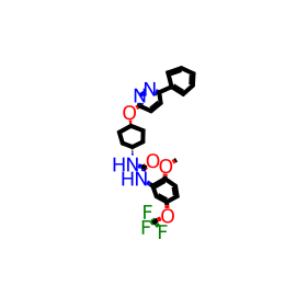 COc1ccc(OC(F)(F)F)cc1NC(=O)N[C@H]1CC[C@H](Oc2ccc(-c3ccccc3)nn2)CC1